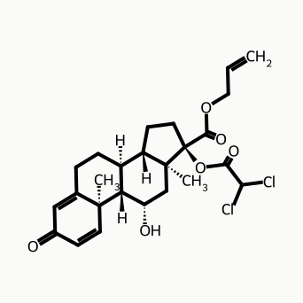 C=CCOC(=O)[C@@]1(OC(=O)C(Cl)Cl)CC[C@H]2[C@@H]3CCC4=CC(=O)C=C[C@]4(C)[C@H]3[C@@H](O)C[C@@]21C